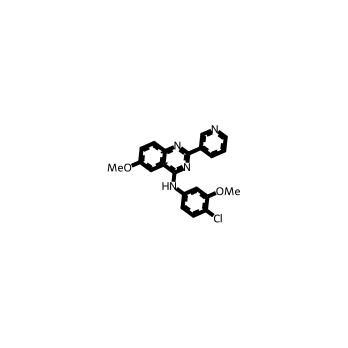 COc1ccc2nc(-c3cccnc3)nc(Nc3ccc(Cl)c(OC)c3)c2c1